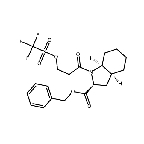 O=C(OCc1ccccc1)[C@@H]1C[C@@H]2CCCC[C@@H]2N1C(=O)CCOS(=O)(=O)C(F)(F)F